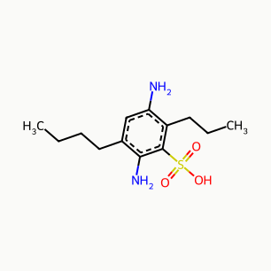 CCCCc1cc(N)c(CCC)c(S(=O)(=O)O)c1N